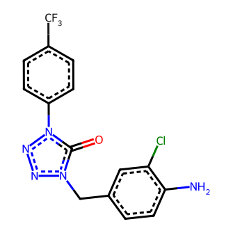 Nc1ccc(Cn2nnn(-c3ccc(C(F)(F)F)cc3)c2=O)cc1Cl